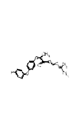 CC(C)=NOCOC(=O)C(C)Oc1ccc(Oc2ccc(I)cc2)cc1